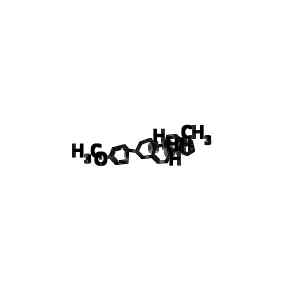 COc1ccc(C2CC[C@H]3C(=CC[C@@H]4[C@@H]3C=C[C@]3(C)CCC[C@@H]43)C2)cc1